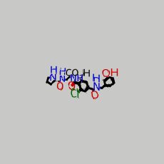 O=C(NCc1cccc(O)c1)c1ccc(C(=O)N[C@@H](CNC(=O)[C@@H]2CCCN2)C(=O)O)c(Cl)c1